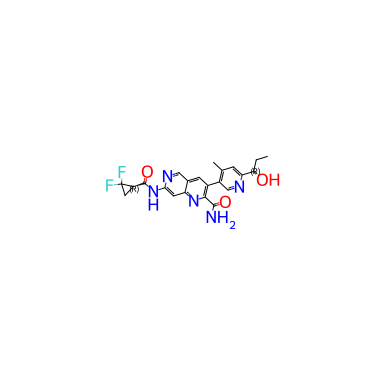 CC[C@@H](O)c1cc(C)c(-c2cc3cnc(NC(=O)[C@H]4CC4(F)F)cc3nc2C(N)=O)cn1